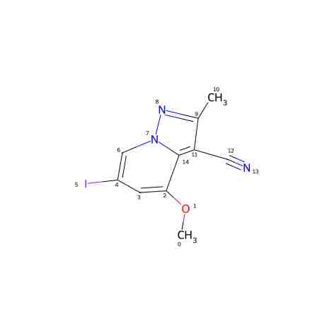 COc1cc(I)cn2nc(C)c(C#N)c12